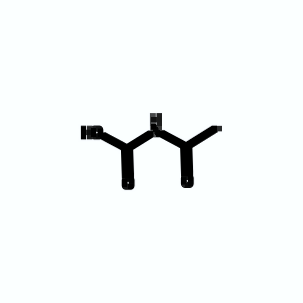 [CH2]C(=O)NC(=O)O